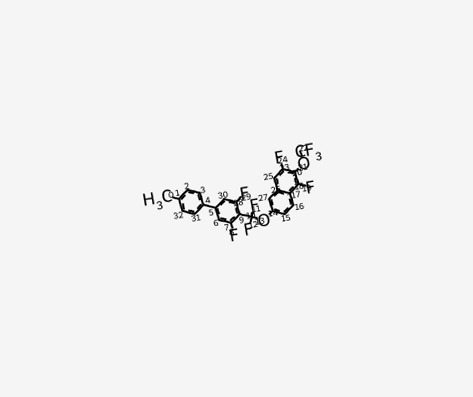 Cc1ccc(-c2cc(F)c(C(F)(F)Oc3ccc4c(F)c(OC(F)(F)F)c(F)cc4c3)c(F)c2)cc1